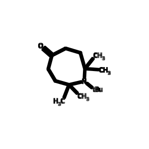 CC(C)(C)N1C(C)(C)CCC(=O)CCC1(C)C